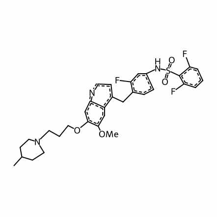 COc1cc2c(Cc3ccc(NS(=O)(=O)c4c(F)cccc4F)cc3F)ccnc2cc1OCCCN1CCC(C)CC1